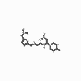 CC1CCN(C(=C[N+](=O)[O-])NCCSCc2ccc(CN(C)C)o2)CC1